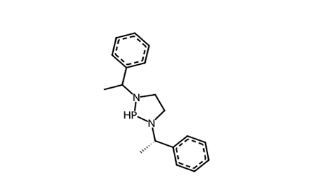 CC(c1ccccc1)N1CCN([C@@H](C)c2ccccc2)P1